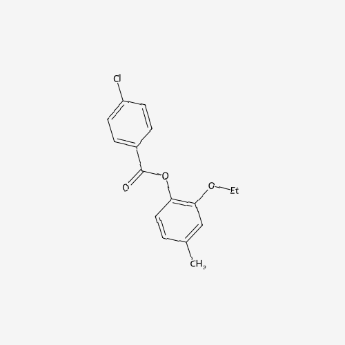 CCOc1cc(C)ccc1OC(=O)c1ccc(Cl)cc1